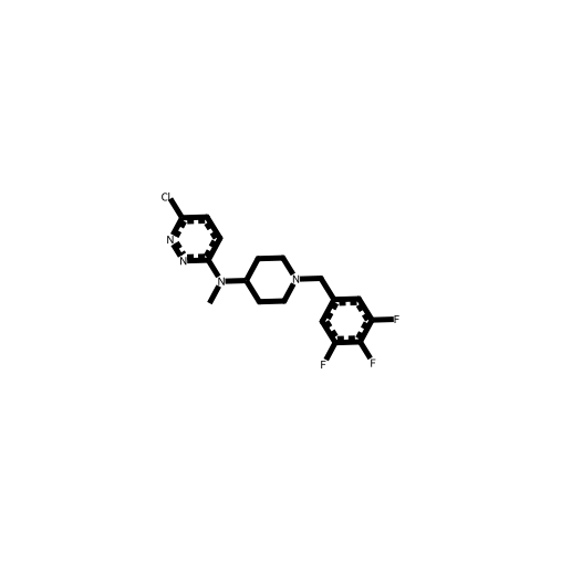 CN(c1ccc(Cl)nn1)C1CCN(Cc2cc(F)c(F)c(F)c2)CC1